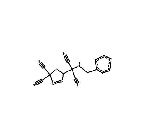 N#CC1(C#N)N=NC(C(C#N)(C#N)NCc2ccccc2)S1